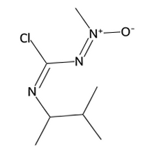 CC(C)C(C)/N=C(Cl)\N=[N+](/C)[O-]